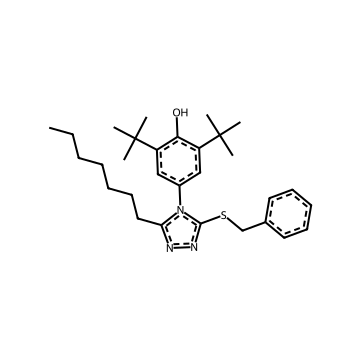 CCCCCCCc1nnc(SCc2ccccc2)n1-c1cc(C(C)(C)C)c(O)c(C(C)(C)C)c1